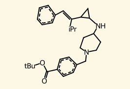 CC(C)/C(=C\c1ccccc1)C1CC1NC1CCN(Cc2ccc(C(=O)OC(C)(C)C)cc2)CC1